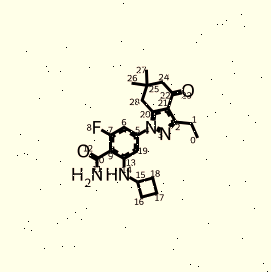 CCc1nn(-c2cc(F)c(C(N)=O)c(NC3CCC3)c2)c2c1C(=O)CC(C)(C)C2